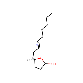 CCCCC/C=C/C[C@]1(C)CCC(O)O1